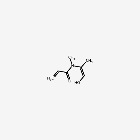 C=CC(=O)N(C)/C(C)=C\O